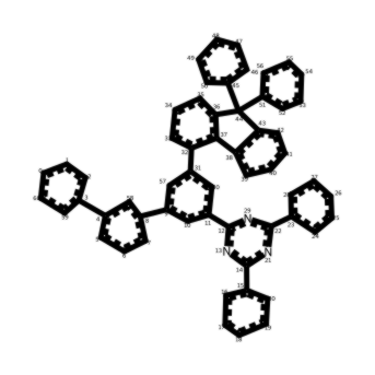 c1ccc(-c2cccc(-c3cc(-c4nc(-c5ccccc5)nc(-c5ccccc5)n4)cc(-c4cccc5c4-c4ccccc4C5(c4ccccc4)c4ccccc4)c3)c2)cc1